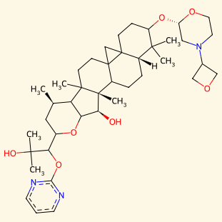 C[C@@H]1CC(C(Oc2ncccn2)C(C)(C)O)OC2C1C1(C)CCC34CC35CCC(O[C@H]3CN(C6COC6)CCO3)C(C)(C)[C@@H]5CCC4[C@]1(C)[C@H]2O